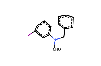 O=CN(Cc1ccccc1)c1cccc(I)c1